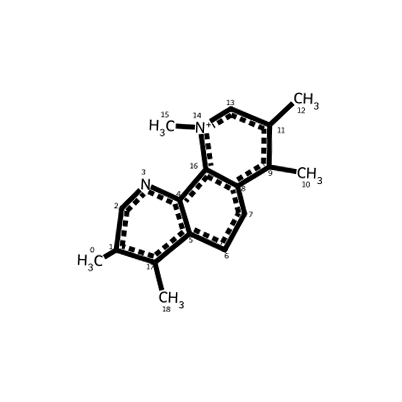 Cc1cnc2c(ccc3c(C)c(C)c[n+](C)c32)c1C